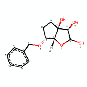 OC1O[C@@H]2[C@H](OCc3ccccc3)CC[C@]2(O)[C@H]1O